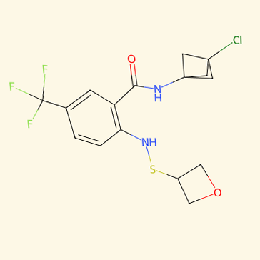 O=C(NC12CC(Cl)(C1)C2)c1cc(C(F)(F)F)ccc1NSC1COC1